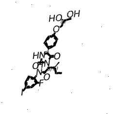 CC[C@H](C)[C@@H](C(=O)Nc1ccc(I)cc1F)N1C(=O)N[C@H](c2ccc(OC[C@H](O)CO)cc2)C1=O